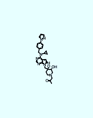 CC(=O)CN1CCC(O)(Cn2ccc3c(N(Cc4ccc(-n5cccn5)cc4)C4CC4)ncnc32)C(O)C1